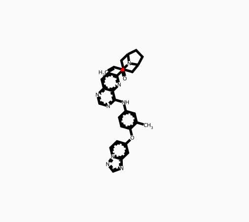 C=CC(=O)N1C2CCC1CC(c1ccc3ncnc(Nc4ccc(Oc5ccn6ncnc6c5)c(C)c4)c3n1)C2